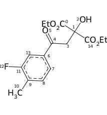 CCOC(=O)C(O)(CC(=O)c1ccc(C)c(F)c1)C(=O)OCC